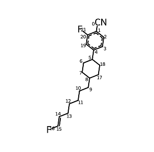 N#Cc1ccc(C2CCC(CCCCCC=CF)CC2)cc1F